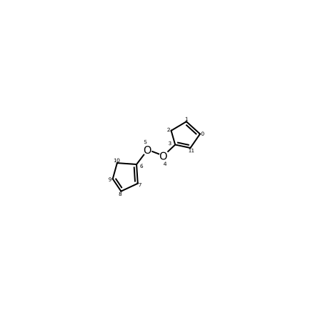 C1=CCC(OOC2=CC=CC2)=C1